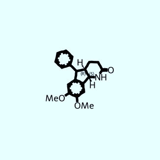 COc1cc2c(cc1OC)[C@H]1NC(=O)CC[C@@H]1C2c1ccccc1